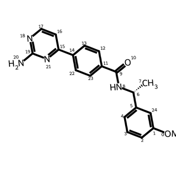 COc1cccc([C@@H](C)NC(=O)c2ccc(-c3ccnc(N)n3)cc2)c1